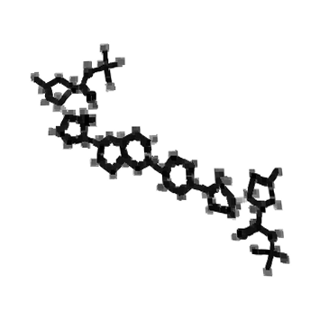 CC1=C[C@@H](c2ncc(-c3ccc(-c4ccc5cc(-c6cnc([C@@H]7C=C(C)CN7C(=O)OC(C)(C)C)[nH]6)ccc5c4)cc3)[nH]2)N(C(=O)OC(C)(C)C)C1